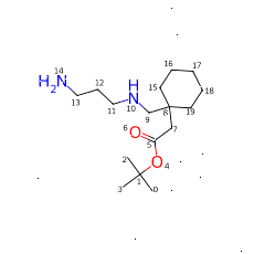 CC(C)(C)OC(=O)CC1(CNCCCN)CCCCC1